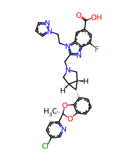 C[C@@]1(c2ccc(Cl)cn2)Oc2cccc([C@@H]3[C@@H]4CN(Cc5nc6c(F)cc(C(=O)O)cc6n5CCn5cccn5)C[C@@H]43)c2O1